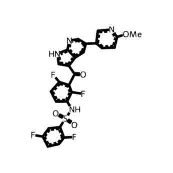 COc1ccc(-c2cnc3[nH]cc(C(=O)c4c(F)ccc(NS(=O)(=O)c5cc(F)ccc5F)c4F)c3c2)cn1